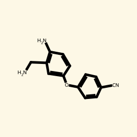 N#Cc1ccc(Oc2ccc(N)c(CN)c2)cc1